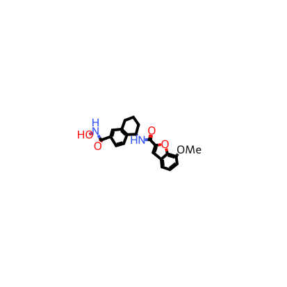 COc1cccc2cc(C(=O)NC3CCCc4cc(C(=O)NO)ccc43)oc12